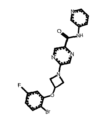 O=C(Nc1cccnc1)c1cnc(N2CC(Oc3cc(F)ccc3Br)C2)cn1